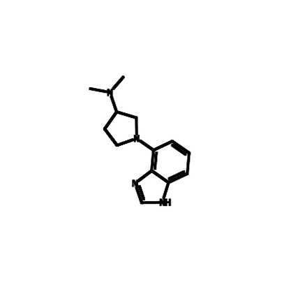 CN(C)C1CCN(c2cccc3[nH]cnc23)C1